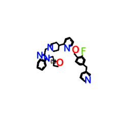 Fc1cc(Cc2cccnc2)ccc1COc1cccc(C2CCN(Cc3nc4ccccc4n3C[C@@H]3CCO3)CC2)n1